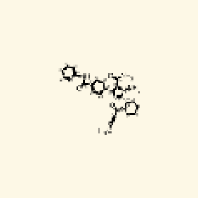 CC#CC(=O)N1CCCC[C@H]1c1nc(-c2ccc(C(=O)Nc3ccccn3)cc2)c(C(N)=O)n1N